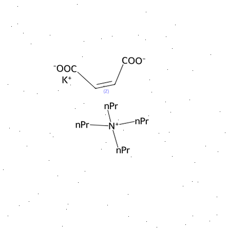 CCC[N+](CCC)(CCC)CCC.O=C([O-])/C=C\C(=O)[O-].[K+]